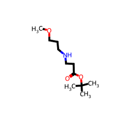 COCCCNCCC(=O)OC(C)(C)C